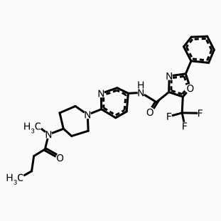 CCCC(=O)N(C)C1CCN(c2ccc(NC(=O)c3nc(-c4ccccc4)oc3C(F)(F)F)cn2)CC1